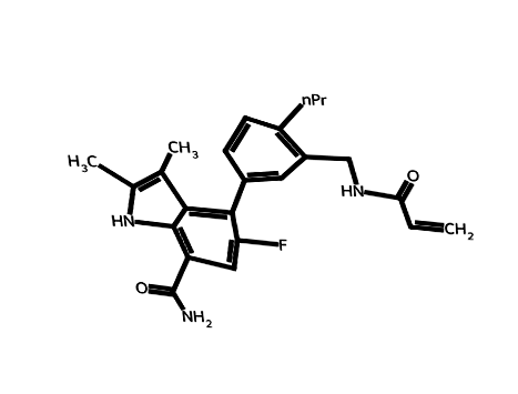 C=CC(=O)NCc1cc(-c2c(F)cc(C(N)=O)c3[nH]c(C)c(C)c23)ccc1CCC